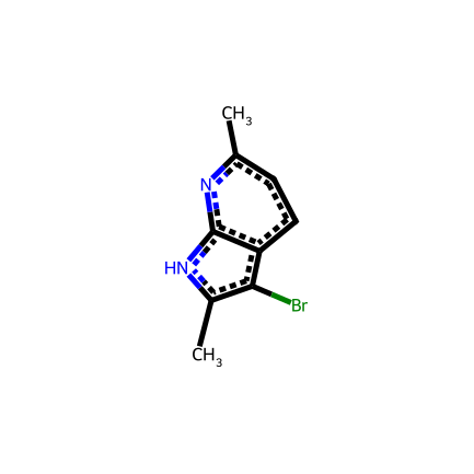 Cc1ccc2c(Br)c(C)[nH]c2n1